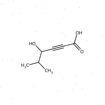 CC(C)C(O)C#CC(=O)O